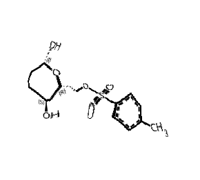 Cc1ccc(S(=O)(=O)OC[C@H]2O[C@@H](O)CC[C@@H]2O)cc1